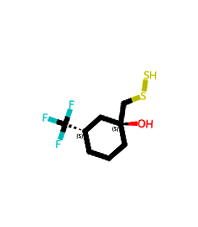 O[C@@]1(CSS)CCC[C@H](C(F)(F)F)C1